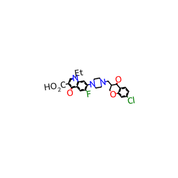 CCn1cc(C(=O)O)c(=O)c2cc(F)c(N3CCN(CC4COc5cc(Cl)ccc5C4=O)CC3)cc21